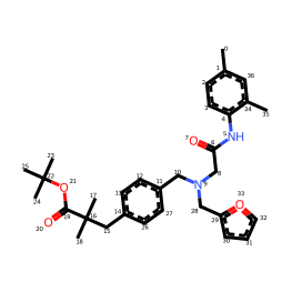 Cc1ccc(NC(=O)CN(Cc2ccc(CC(C)(C)C(=O)OC(C)(C)C)cc2)Cc2ccco2)c(C)c1